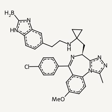 Bc1nc2cc(CCNC3(C[C@@H]4N=C(c5ccc(Cl)cc5)c5cc(OC)ccc5-n5c(C)nnc54)CC3)ccc2[nH]1